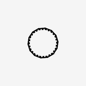 [c]1ccccccccccccc1